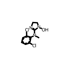 CN(C1=NCCN1O)c1c(Cl)cccc1Cl